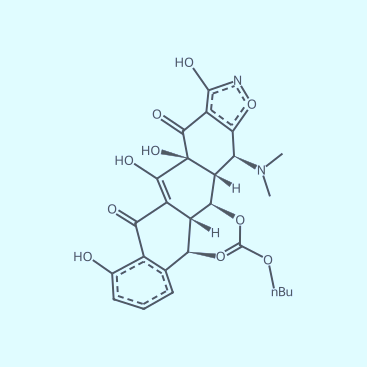 CCCCOC(=O)O[C@H]1[C@H]2C(=C(O)[C@]3(O)C(=O)c4c(O)noc4[C@@H](N(C)C)[C@H]13)C(=O)c1c(O)cccc1[C@@H]2C